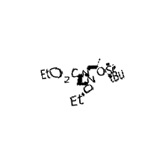 CCOC(=O)c1cc(OCC)nn1C[C@H](C)O[Si](C)(C)C(C)(C)C